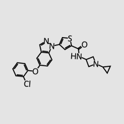 O=C(NC1CN(C2CC2)C1)c1cc(-n2ncc3cc(Oc4ccccc4Cl)ccc32)cs1